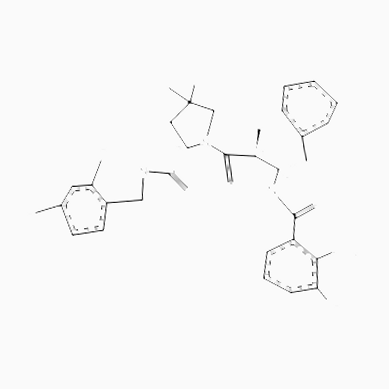 Cc1c(O)cccc1C(=O)N[C@@H](Cc1ccccc1)[C@H](O)C(=O)N1CC(F)(F)C[C@H]1C(=O)NCc1ccc(F)cc1F